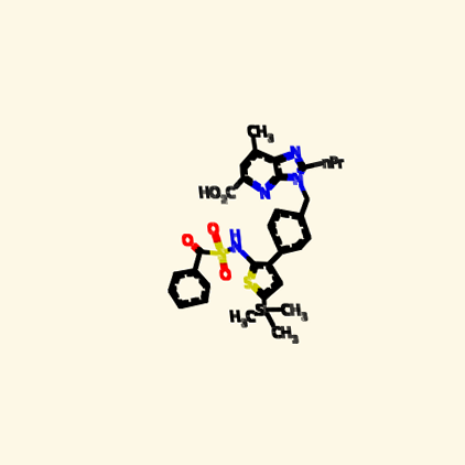 CCCc1nc2c(C)cc(C(=O)O)nc2n1Cc1ccc(-c2cc([Si](C)(C)C)sc2NS(=O)(=O)C(=O)c2ccccc2)cc1